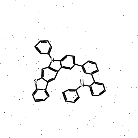 c1ccc(Nc2ccccc2-c2cccc(-c3ccc4c(c3)c3cc5c(cc3n4-c3ccccc3)sc3ccccc35)c2)cc1